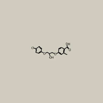 Cc1cc(OCC(O)COc2ccc(Cl)cc2)ccc1C(=O)O